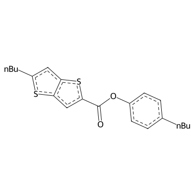 CCCCc1ccc(OC(=O)c2cc3sc(CCCC)cc3s2)cc1